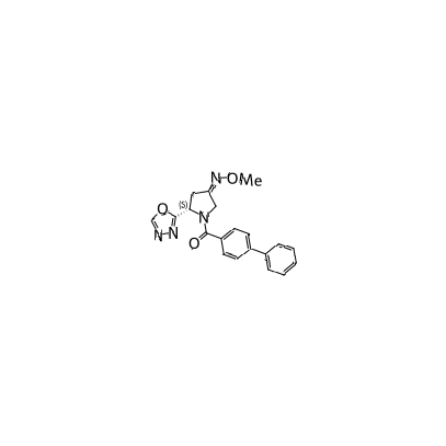 CON=C1C[C@@H](c2nnco2)N(C(=O)c2ccc(-c3ccccc3)cc2)C1